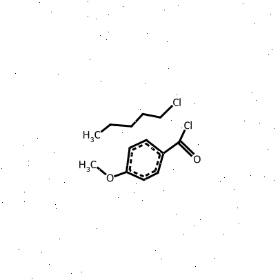 CCCCCCl.COc1ccc(C(=O)Cl)cc1